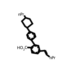 CCCC=Cc1ccc(C(=O)O)c(-c2ccc(C3CCC(CCC)CC3)cc2)c1